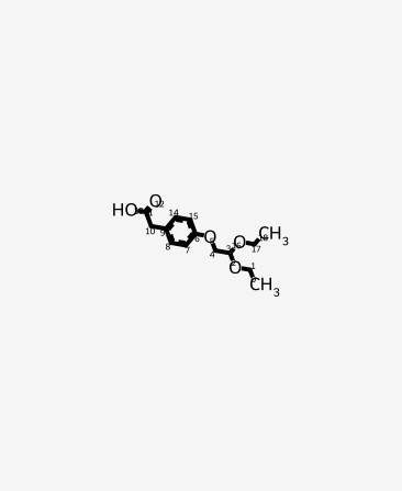 CCOC(COc1ccc(CC(=O)O)cc1)OCC